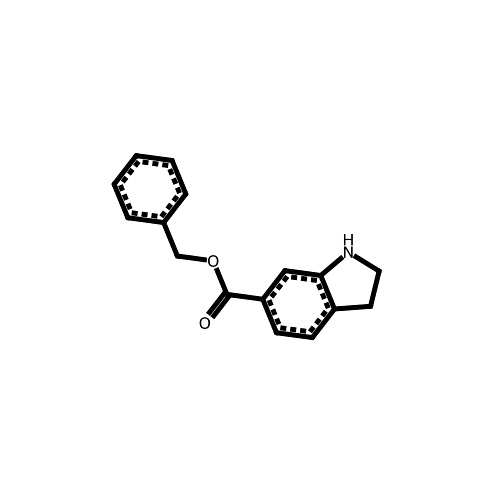 O=C(OCc1ccccc1)c1ccc2c(c1)NCC2